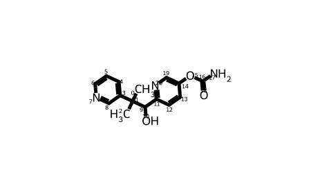 CC(C)(c1cccnc1)C(O)c1ccc(OC(N)=O)cn1